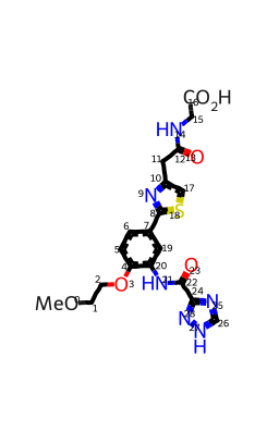 COCCOc1ccc(-c2nc(CC(=O)NCC(=O)O)cs2)cc1NC(=O)c1nc[nH]n1